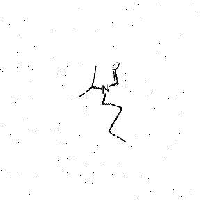 CCCCN(C=O)C(C)C